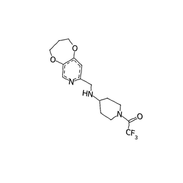 O=C(N1CCC(NCc2cc3c(cn2)OCCCO3)CC1)C(F)(F)F